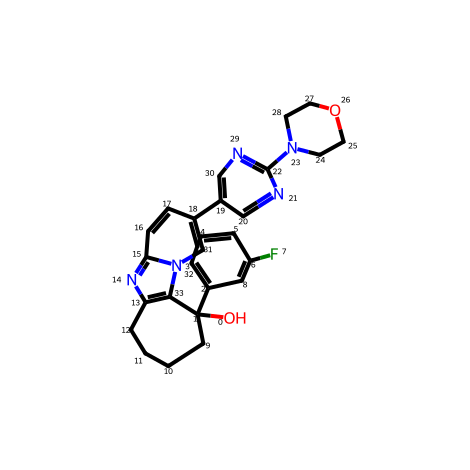 OC1(c2cccc(F)c2)CCCCc2nc3ccc(-c4cnc(N5CCOCC5)nc4)cn3c21